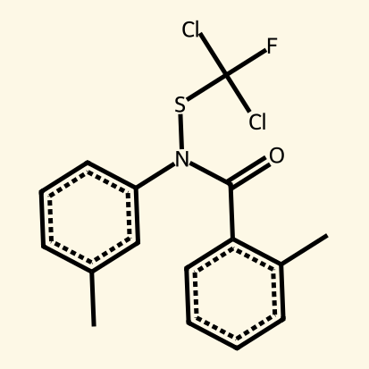 Cc1cccc(N(SC(F)(Cl)Cl)C(=O)c2ccccc2C)c1